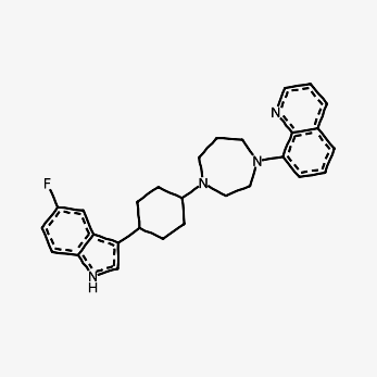 Fc1ccc2[nH]cc(C3CCC(N4CCCN(c5cccc6cccnc56)CC4)CC3)c2c1